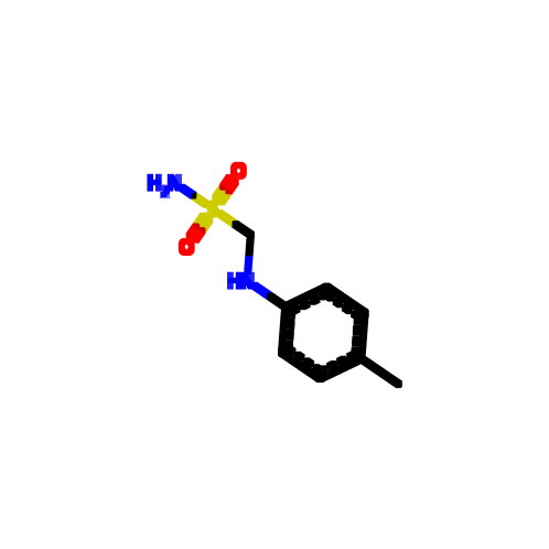 Cc1ccc(NCS(N)(=O)=O)cc1